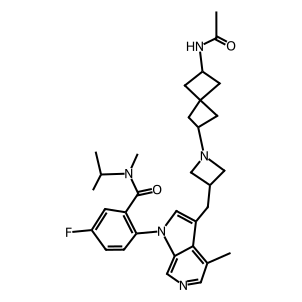 CC(=O)NC1CC2(C1)CC(N1CC(Cc3cn(-c4ccc(F)cc4C(=O)N(C)C(C)C)c4cncc(C)c34)C1)C2